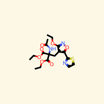 CCOC(=O)C(Cc1c(OCC)noc1-c1nccs1)(NC(C)=O)C(=O)OCC